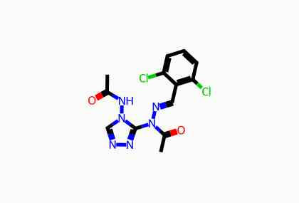 CC(=O)Nn1cnnc1N(/N=C/c1c(Cl)cccc1Cl)C(C)=O